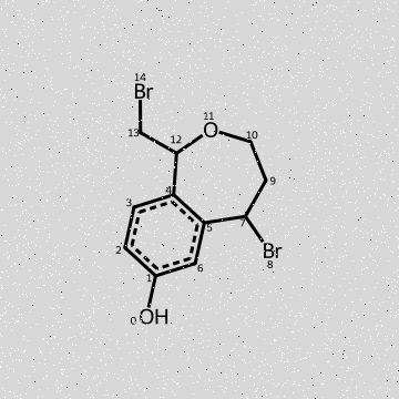 Oc1ccc2c(c1)C(Br)CCOC2CBr